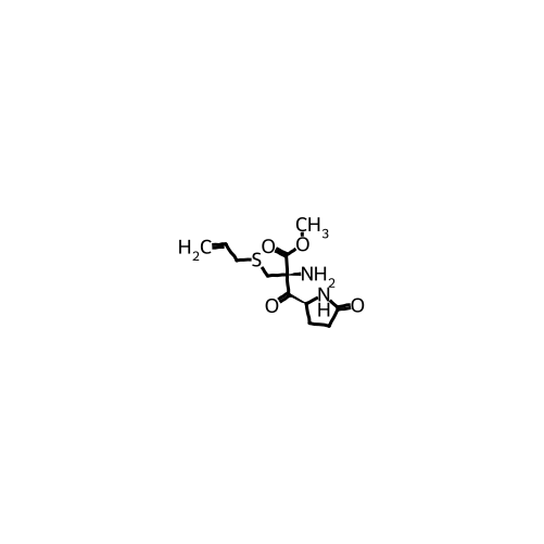 C=CCSC[C@](N)(C(=O)OC)C(=O)[C@@H]1CCC(=O)N1